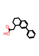 O=C(O)CC1CCCc2ccc(-c3ccccc3)cc21